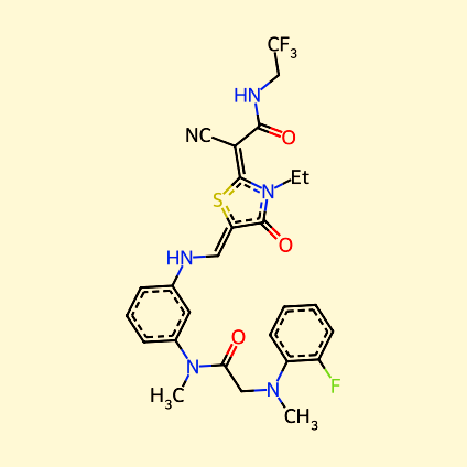 CCn1c(=C(C#N)C(=O)NCC(F)(F)F)sc(=CNc2cccc(N(C)C(=O)CN(C)c3ccccc3F)c2)c1=O